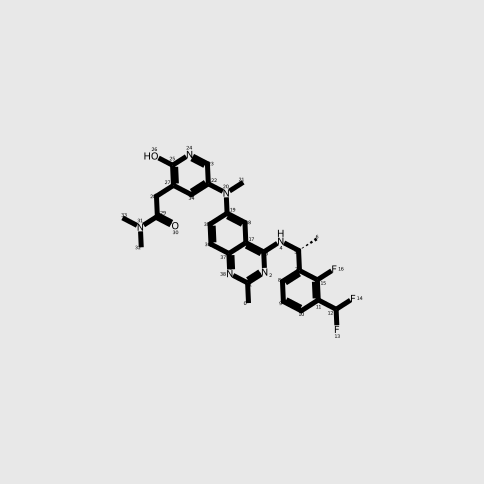 Cc1nc(N[C@H](C)c2cccc(C(F)F)c2F)c2cc(N(C)c3cnc(O)c(CC(=O)N(C)C)c3)ccc2n1